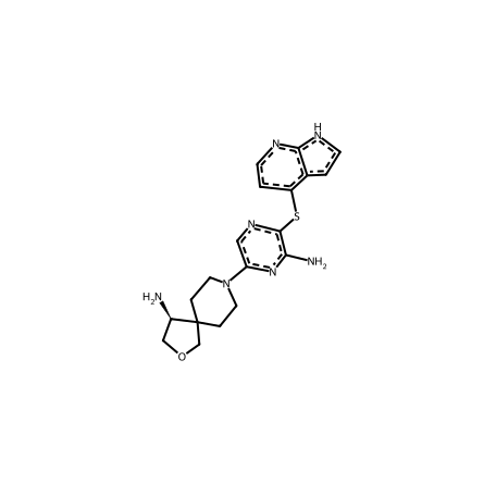 Nc1nc(N2CCC3(CC2)COC[C@H]3N)cnc1Sc1ccnc2[nH]ccc12